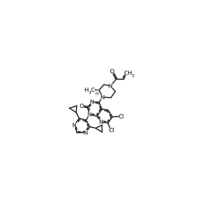 C=CC(=O)N1CCN(c2nc(=O)n(-c3c(C4CC4)ncnc3C3CC3)c3nc(Cl)c(Cl)cc23)[C@@H](C)C1